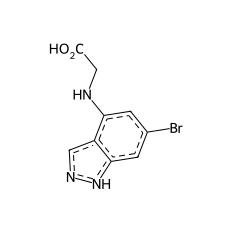 O=C(O)CNc1cc(Br)cc2[nH]ncc12